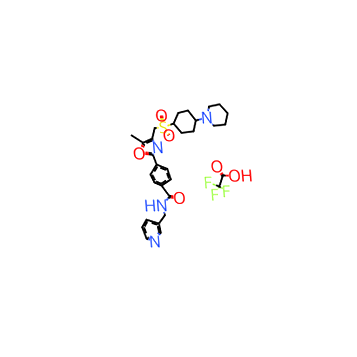 Cc1oc(-c2ccc(C(=O)NCc3cccnc3)cc2)nc1CS(=O)(=O)C1CCC(N2CCCCC2)CC1.O=C(O)C(F)(F)F